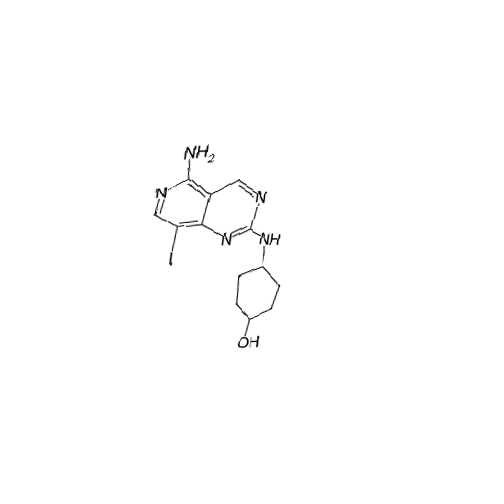 Nc1ncc(I)c2nc(NC3CCC(O)CC3)ncc12